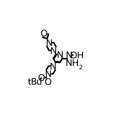 CC(C)(C)OC(=O)N1CCN(c2cc(/C(N)=N/O)nc(N3CCN(C4COC4)CC3)c2)CC1